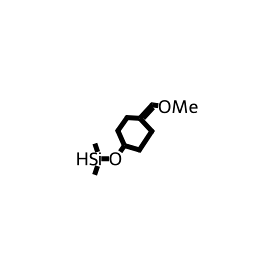 COC=C1CCC(O[SiH](C)C)CC1